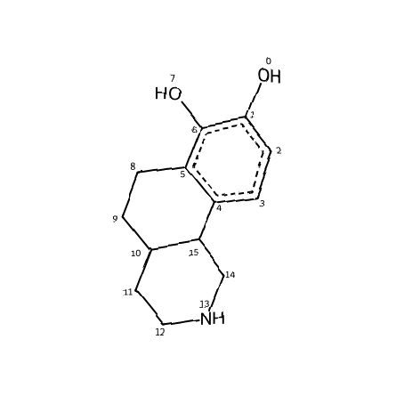 Oc1ccc2c(c1O)CCC1CCNCC21